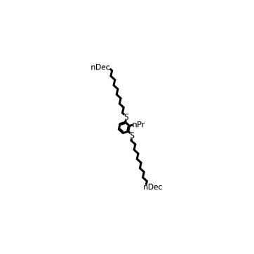 [CH2]CCc1c(SCCCCCCCCCCCCCCCCCCCC)cccc1SCCCCCCCCCCCCCCCCCCCC